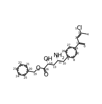 C=C(/C=C(\C)Cl)c1ccc(C[C@@H](N)C[C@@H](O)C(=O)OCc2ccccc2)cc1